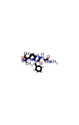 CNC(=O)CNc1nc2ccc(-c3c(C)noc3C)nc2n(CC2CCCCC2)c1=O